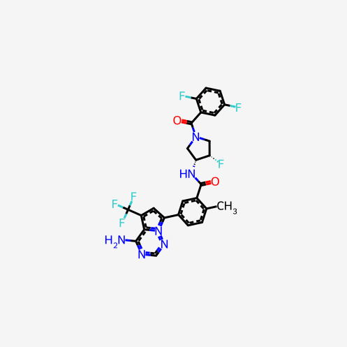 Cc1ccc(-c2cc(C(F)(F)F)c3c(N)ncnn23)cc1C(=O)N[C@@H]1CN(C(=O)c2cc(F)ccc2F)C[C@@H]1F